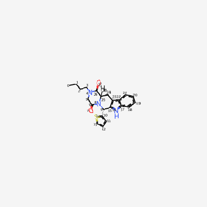 CCCCN1CC(=O)N2[C@@H](c3cccs3)c3[nH]c4ccccc4c3C[C@H]2C1=O